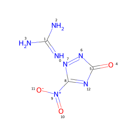 N=C(N)N.O=C1N=NC([N+](=O)[O-])=N1